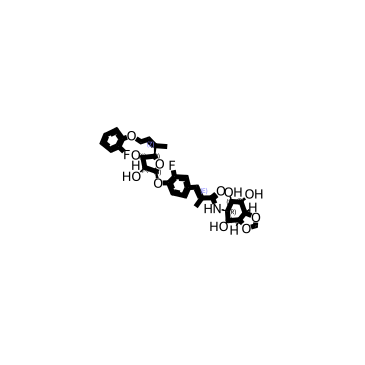 C/C(=C/COc1ccccc1F)[C@H]1O[C@@H](Oc2ccc(/C=C(\C)C(=O)N[C@@H]3[C@H](O)[C@@H](O)[C@H]4OCO[C@H]4[C@@H]3O)cc2F)[C@H](O)[C@@H]1O